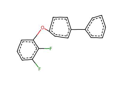 Fc1cccc(Oc2ccc(-c3ccccc3)cc2)c1F